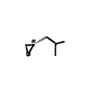 CC(C)C[C@H]1CO1